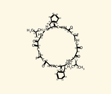 CC(C)C[C@@H]1NN[C@@H](Cc2ccccc2)C(=O)CNCC(=O)CC(F)NCC(=O)C(=O)[C@H](CC(C)C)NCN[C@@H](Cc2ccccc2)C(=O)CNCC(=O)CC(F)NCC(=O)CC1=O